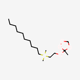 CCCCCCCCCCS(C)(C)CCOC1(C)OCOO1